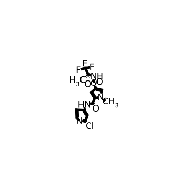 C[C@@H](NS(=O)(=O)c1cc(C(=O)Nc2ccnc(Cl)c2)n(C)c1)C(F)(F)F